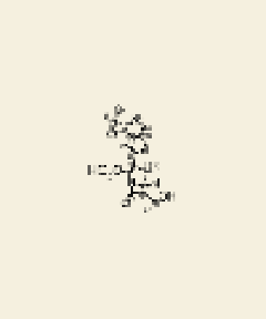 C[C@@H](O)[C@H]1C(=O)N2C(C(=O)O)=C(c3cn4c(S(C)(=O)=O)ncc4s3)[C@H](C)[C@H]12